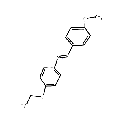 CCOc1ccc(/N=N/c2ccc(OC)cc2)cc1